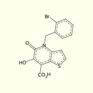 O=C(O)c1c(O)c(=O)n(Cc2ccccc2Br)c2ccsc12